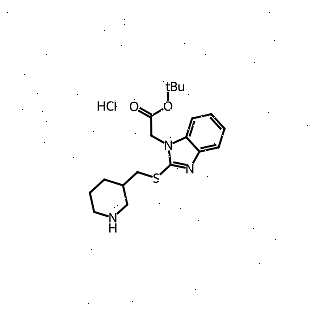 CC(C)(C)OC(=O)Cn1c(SCC2CCCNC2)nc2ccccc21.Cl